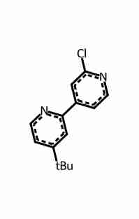 CC(C)(C)c1ccnc(-c2ccnc(Cl)c2)c1